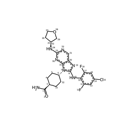 NC(=O)[C@H]1CC[C@H](n2c(Nc3c(F)cc(Cl)cc3F)nc3cnc(N[C@H]4CCOC4)nc32)CC1